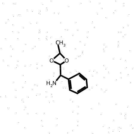 CC1OC(C(N)c2ccccc2)O1